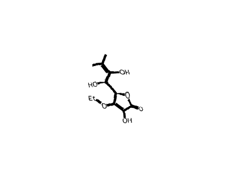 CCOC1=C(O)C(=O)O[C@@H]1[C@@H](O)C(O)=C(C)C